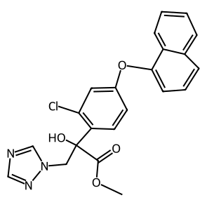 COC(=O)C(O)(Cn1cncn1)c1ccc(Oc2cccc3ccccc23)cc1Cl